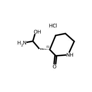 Cl.NC(O)C[C@@H]1CCCNC1=O